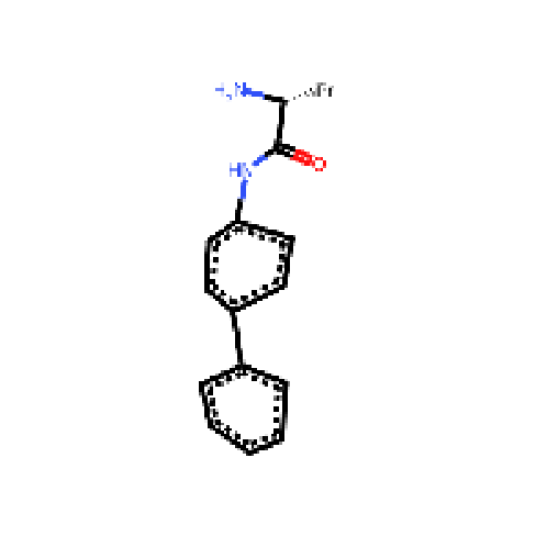 CC(C)[C@@H](N)C(=O)Nc1ccc(-c2ccccc2)cc1